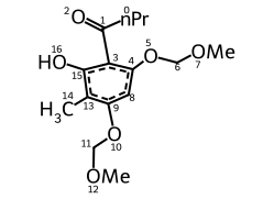 CCCC(=O)c1c(OCOC)cc(OCOC)c(C)c1O